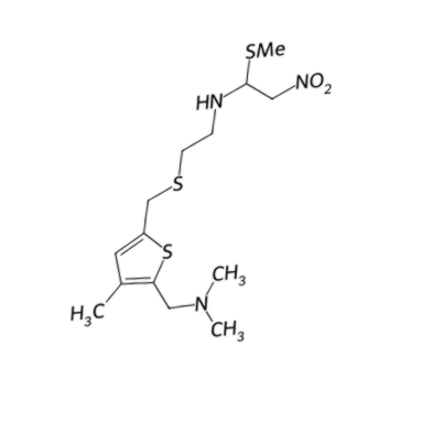 CSC(C[N+](=O)[O-])NCCSCc1cc(C)c(CN(C)C)s1